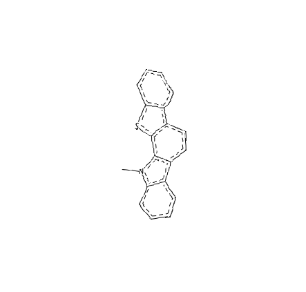 Cn1c2ccccc2c2ccc3c4ccccc4sc3c21